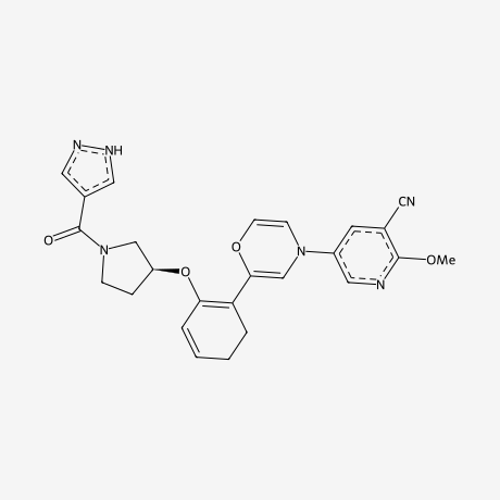 COc1ncc(N2C=COC(C3=C(O[C@H]4CCN(C(=O)c5cn[nH]c5)C4)C=CCC3)=C2)cc1C#N